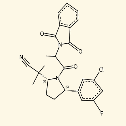 CC(C(=O)N1[C@H](c2cc(F)cc(Cl)c2)CC[C@@H]1C(C)(C)C#N)N1C(=O)c2ccccc2C1=O